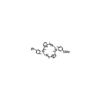 CSc1ccc(C[C@H]2C/N=C(\C)c3cccc(n3)/C(C)=N/[C@@H](Cc3ccc(C(C)C)cc3)C/N=C(\C)c3cccc(n3)/C(C)=N/2)cc1